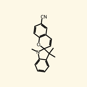 CN1c2ccccc2C(C)(C)C12C=Cc1cc(C#N)ccc1O2